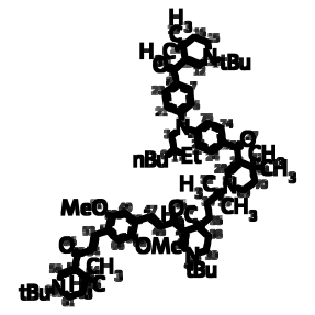 CCCCC(CC)CN(c1ccc(C(=O)C2=CN(C(C)(C)C)CCC2(C)C)cc1)c1ccc(C(=O)C2=CN(C(C)(C)CCC3(C)CCN(C(C)(C)C)C=C3C(=O)/C=C/c3cc(OC)c(/C=C/C(=O)C4=CN(C(C)(C)C)CCC4(C)C)cc3OC)CCC2(C)C)cc1